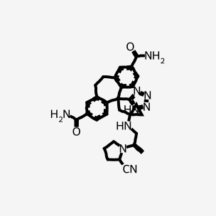 C=C(CNC1(CC2(c3nnn[nH]3)c3ccc(C(N)=O)cc3CCc3cc(C(N)=O)ccc32)CC1)N1CCCC1C#N